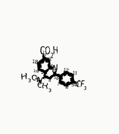 CN(C)c1cc(-c2ccc(C(F)(F)F)cc2)nc2cc(C(=O)O)ccc12